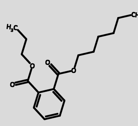 CCCCCCOC(=O)c1ccccc1C(=O)OCCC